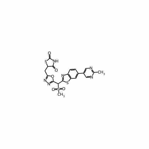 Cc1ncc(-c2ccc3nc(C(c4nnc(CC5SC(=O)NC5=O)o4)S(C)(=O)=O)sc3c2)cn1